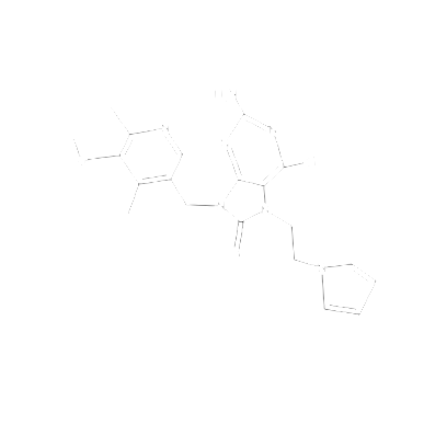 COc1c(C)ncc(Cn2c(=O)n(CCn3cccc3)c3c(Cl)nc(N)nc32)c1C